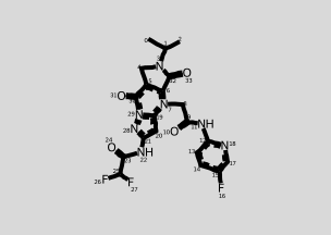 CC(C)N1Cc2c(n(CC(=O)Nc3ccc(F)cn3)c3cc(NC(=O)C(F)F)nn3c2=O)C1=O